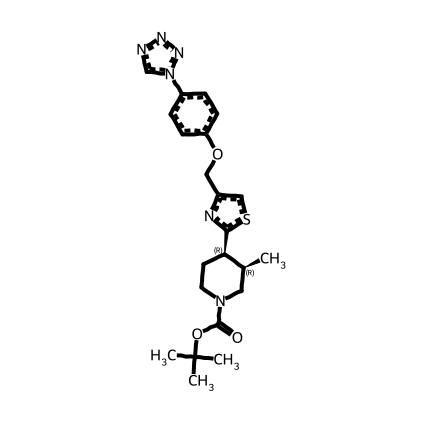 C[C@H]1CN(C(=O)OC(C)(C)C)CC[C@H]1c1nc(COc2ccc(-n3cnnn3)cc2)cs1